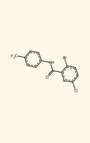 O=C(Nc1ccc(C(F)(F)F)cc1)c1nc(Cl)ccc1Br